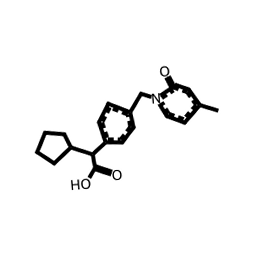 Cc1ccn(Cc2ccc(C(C(=O)O)C3CCCC3)cc2)c(=O)c1